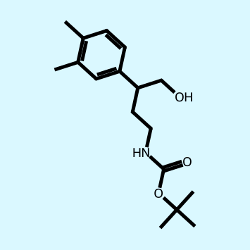 Cc1ccc(C(CO)CCNC(=O)OC(C)(C)C)cc1C